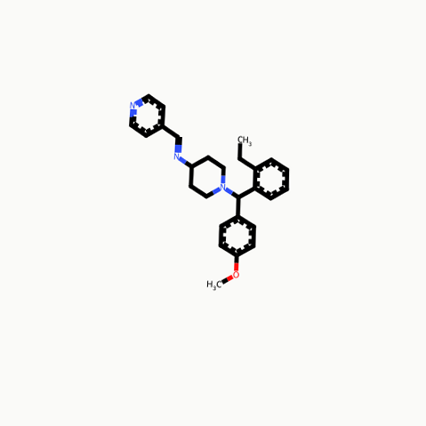 CCc1ccccc1C(c1ccc(OC)cc1)N1CCC(N=Cc2ccncc2)CC1